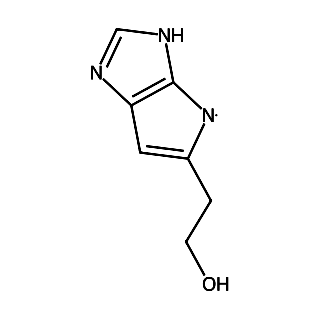 OCCC1=Cc2nc[nH]c2[N]1